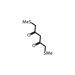 CSCC(=O)CC(=O)CSC